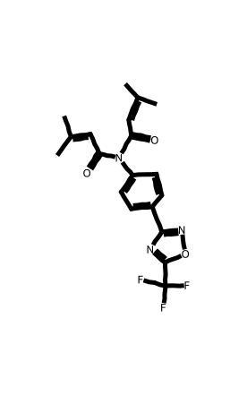 CC(C)=CC(=O)N(C(=O)C=C(C)C)c1ccc(-c2noc(C(F)(F)F)n2)cc1